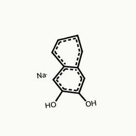 Oc1cc2ccccc2cc1O.[Na]